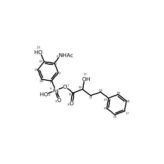 CC(=O)Nc1cc([As](=O)(O)OC(=O)C(O)CCc2ccccc2)ccc1O